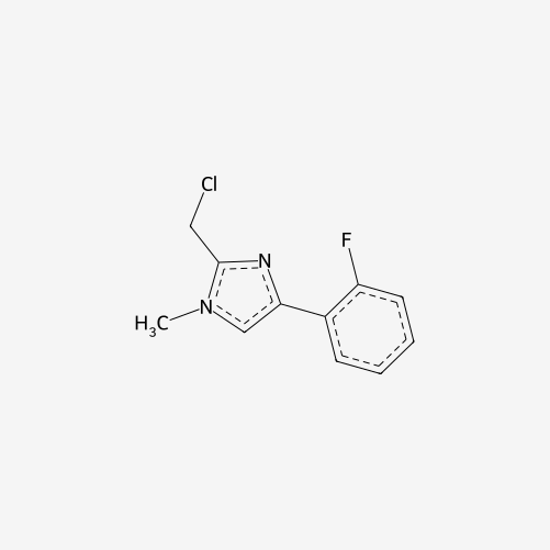 Cn1cc(-c2ccccc2F)nc1CCl